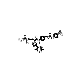 CC(=O)N[C@H](c1cn([C@@H](CCCNC(N)=O)C(=O)Nc2ccc(COC(=O)Oc3ccc([N+](=O)[O-])cc3)cc2)nn1)C(C)C